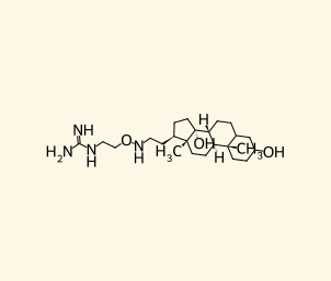 C[C@]12CCC(O)CC1CC[C@@H]1[C@@H]2CC[C@]2(C)[C@@H](CCNOCCNC(=N)N)CC[C@@]12O